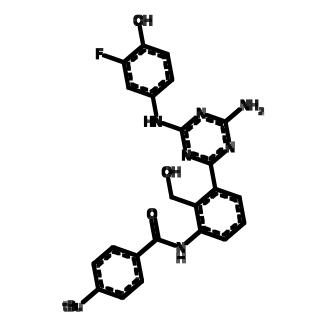 CC(C)(C)c1ccc(C(=O)Nc2cccc(-c3nc(N)nc(Nc4ccc(O)c(F)c4)n3)c2CO)cc1